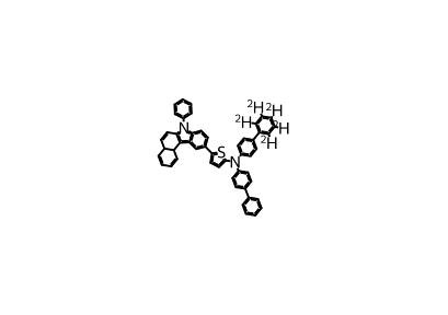 [2H]c1c([2H])c([2H])c(-c2ccc(N(c3ccc(-c4ccccc4)cc3)c3ccc(-c4ccc5c(c4)c4c(n5-c5ccccc5)C=CC5C=CC=CC45)s3)cc2)c([2H])c1[2H]